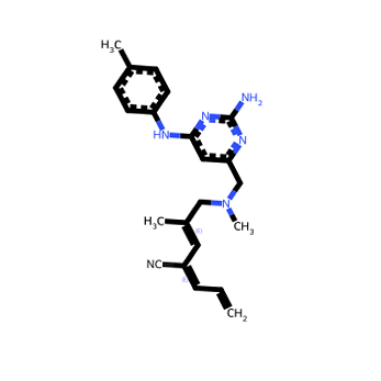 C=C/C=C(C#N)\C=C(/C)CN(C)Cc1cc(Nc2ccc(C)cc2)nc(N)n1